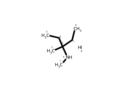 CCC(C)(CC)NC.I